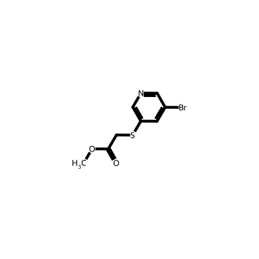 COC(=O)CSc1cncc(Br)c1